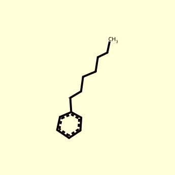 CCCCCC[CH]c1ccccc1